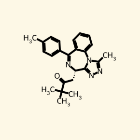 Cc1ccc(C2=N[C@@H](CC(=O)C(C)(C)C)c3nnc(C)n3-c3ccccc32)cc1